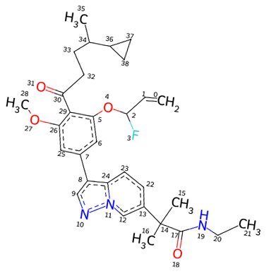 C=CC(F)Oc1cc(-c2cnn3cc(C(C)(C)C(=O)NCC)ccc23)cc(OC)c1C(=O)CCC(C)C1CC1